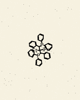 CCC(C(C)C)(C(c1ccccc1)P(c1ccccc1)c1ccccc1)C(c1ccccc1)P(c1ccccc1)c1ccccc1